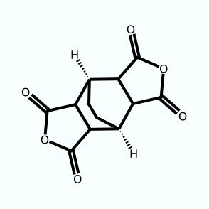 O=C1OC(=O)C2C1[C@H]1CC[C@@H]2C2C(=O)OC(=O)C21